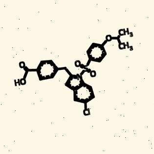 CC(C)Oc1ccc(S(=O)(=O)n2c(Cc3ccc(C(=O)O)cc3)cc3cc(Cl)ccc32)cc1